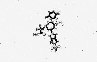 CS(=O)(=O)n1cc2c(n1)CN(C1CCS[C@H](c3cc(F)ccc3F)[C@@H](N)C1)C2.O=C(O)C(F)(F)F